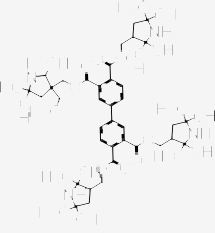 CCC1(COC(=O)c2cc(-c3ccc(C(=O)OCC4CC(C)(C)NC4(C)C)c(C(=O)OCC4CC(C)(C)NC4(C)C)c3)ccc2C(=O)OCC2CC(C)(C)NC2(C)C)CC(C)(C)NC1C